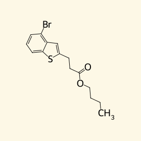 CCCCOC(=O)CCc1cc2c(Br)cccc2s1